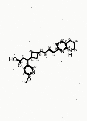 COc1ccc(C(CC(=O)O)C2CC(CC/C=C/c3ccc4c(n3)NCCC4)C2)cn1